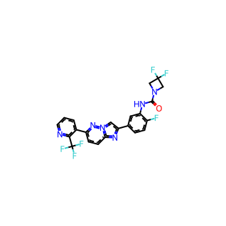 O=C(Nc1cc(-c2cn3nc(-c4cccnc4C(F)(F)F)ccc3n2)ccc1F)N1CC(F)(F)C1